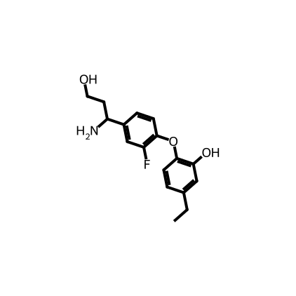 CCc1ccc(Oc2ccc(C(N)CCO)cc2F)c(O)c1